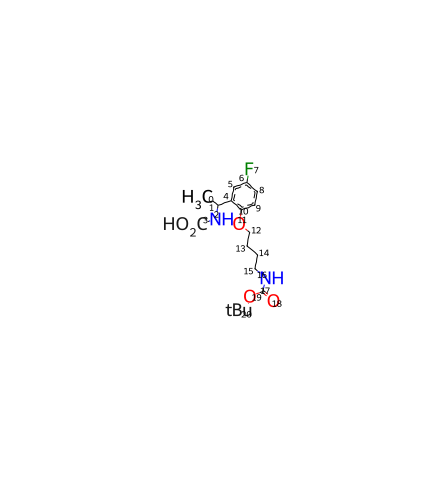 CC(NC(=O)O)c1cc(F)ccc1OCCCCNC(=O)OC(C)(C)C